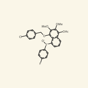 COc1c(OC)c(OCc2ccc(Cl)cc2)c2c([S+]([O-])c3ccc(F)cc3)cccc2c1OC(C)=O